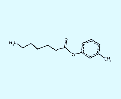 CCCCCCC(=O)Oc1cccc(C)c1